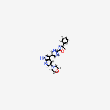 c1ccc(C2COC(c3ncc(-c4c[nH]c5ncc(N6CCOCC6)cc45)cn3)=N2)cc1